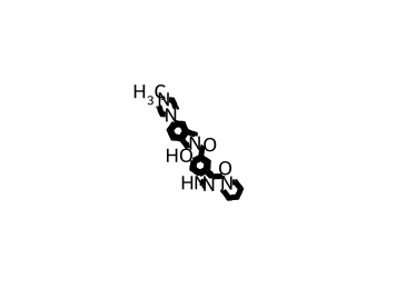 CN1CCN(c2ccc3c(c2)CN(C(=O)c2cc4c(C(=O)N5CCCCC5)n[nH]c4cc2O)C3)CC1